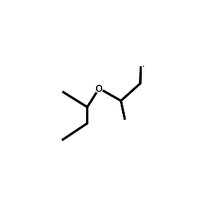 [CH2]CC(C)OC(C)CC